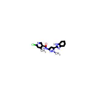 Cc1cc(Cl)ncc1C(=O)Nc1cc(-c2nc3ccccc3[nH]2)n(C)n1